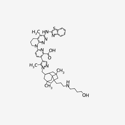 Cc1c(Nc2nc3ccccc3s2)nnc2c1CCCN2c1ccc(-c2cnn(CC34CC5(C)CC6(CCCNCCCCO)CC(C)(C3)C6(C5)C4)c2C)c(C(=O)O)n1